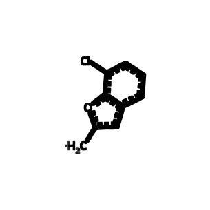 [CH2]c1cc2cccc(Cl)c2o1